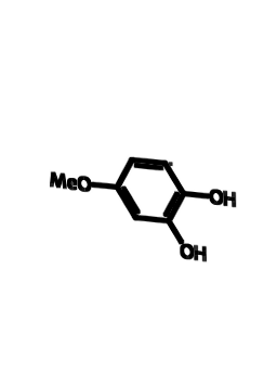 COc1c[c]c(O)c(O)c1